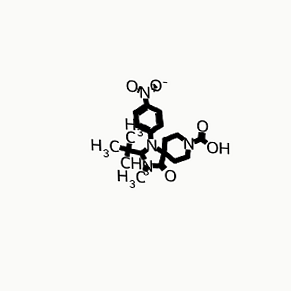 CN1C(=O)C2(CCN(C(=O)O)CC2)N(c2ccc([N+](=O)[O-])cc2)C1C(C)(C)C